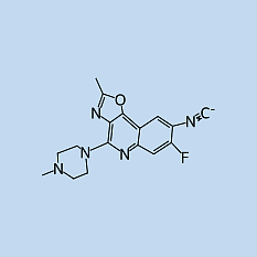 [C-]#[N+]c1cc2c(cc1F)nc(N1CCN(C)CC1)c1nc(C)oc12